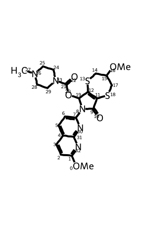 COc1ccc2ccc(N3C(=O)C4=C(SCC(OC)CS4)C3OC(=O)N3CCN(C)CC3)nc2n1